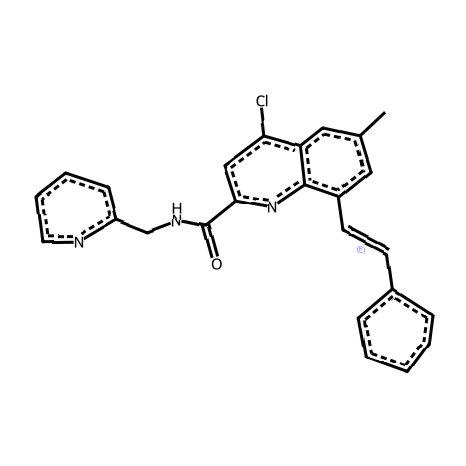 Cc1cc(/C=C/c2ccccc2)c2nc(C(=O)NCc3ccccn3)cc(Cl)c2c1